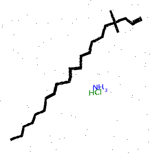 C=CCC(C)(C)CCCCCCCCCCCCCCCCC.Cl.N